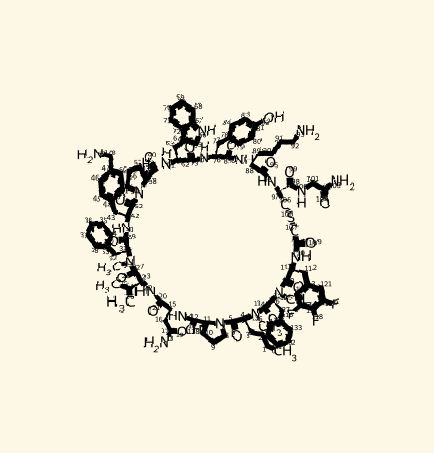 CCCC[C@H]1C(=O)N2CCC[C@@H]2C(=O)N[C@@H](CC(N)=O)C(=O)N[C@@H](C(C)C)C(=O)N(C)[C@@H](Cc2ccccc2)C(=O)N[C@@H](Cc2ccc(CN)cc2)C(=O)N2CCC[C@@H]2C(=O)N[C@@H](Cc2c[nH]c3ccccc23)C(=O)N[C@@H](Cc2ccc(O)cc2)C(=O)N[C@@H](CCCCN)C(=O)N[C@H](C(=O)NCC(N)=O)CSCC(=O)N[C@@H](Cc2cc(F)c(F)c(F)c2)C(=O)N(C)[C@@H](Cc2ccccc2)C(=O)N1C